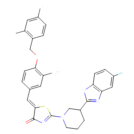 COc1cc(C=C2SC(N3CCCC(c4nc5cc(F)ccc5[nH]4)C3)=NC2=O)ccc1OCc1ccc(C(F)(F)F)cc1C(F)(F)F